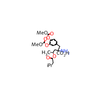 COC(=O)Oc1ccc(CC(N)(C[C@H](C)OC(=O)CC(C)C)C(=O)O)cc1OC(=O)OC